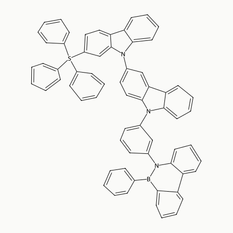 c1ccc(B2c3ccccc3-c3ccccc3N2c2cccc(-n3c4ccccc4c4cc(-n5c6ccccc6c6ccc(S(c7ccccc7)(c7ccccc7)c7ccccc7)cc65)ccc43)c2)cc1